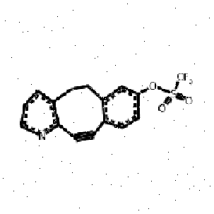 O=S(=O)(Oc1ccc2c(c1)CCc1cccnc1C#C2)C(F)(F)F